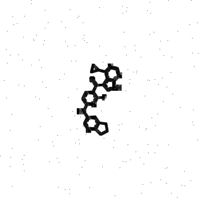 O=C(c1ccc(Nc2cnc3c(c2)CCC3)nc1F)c1c[nH]c2ncnc(C3CC3)c12